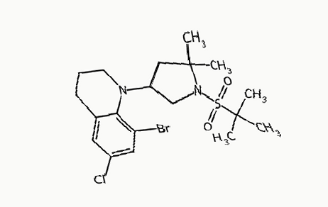 CC1(C)CC(N2CCCc3cc(Cl)cc(Br)c32)CN1S(=O)(=O)C(C)(C)C